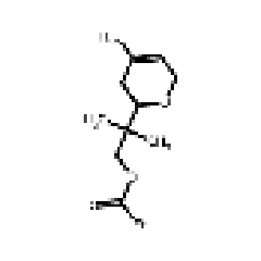 CCC(=O)OCC(C)(C)C1CC(C)=CCO1